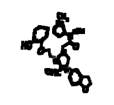 CCCCN(C(=O)CN1C[C@H](c2ccc3c(c2)CCO3)[C@@H](C=O)[C@@H]1CCOc1ccccc1O)c1ccc[n+](C)c1